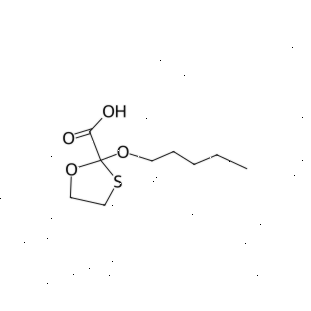 CCCCCOC1(C(=O)O)OCCS1